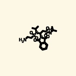 CC(C)NS(=O)(=O)CC(N1C(=O)c2ccccc2C1=O)N(C(C)C)S(=O)(=O)CCN